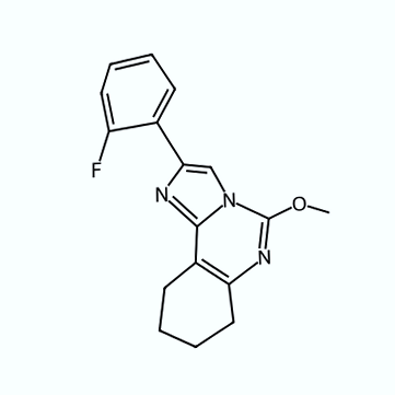 COc1nc2c(c3nc(-c4ccccc4F)cn13)CCCC2